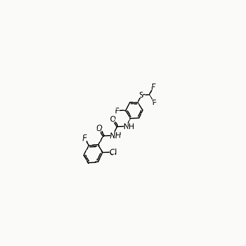 O=C(NC(=O)c1c(F)cccc1Cl)Nc1ccc(SC(F)F)cc1F